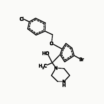 CC(O)(c1cc(Br)ccc1OCc1ccc(Cl)cc1)N1CCNCC1